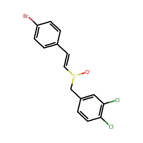 [O-][S+](C=Cc1ccc(Br)cc1)Cc1ccc(Cl)c(Cl)c1